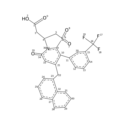 O=C(O)CC1CS(=O)(=O)c2c(-c3cccc(C(F)(F)F)c3)c(Cc3cccc4ccccc34)cc(=O)n21